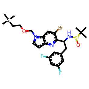 CC(C)(C)[S+]([O-])NC(Cc1cc(F)cc(F)c1)c1nc2ccn(COCC[Si](C)(C)C)c2cc1Br